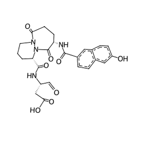 O=C[C@H](CC(=O)O)NC(=O)[C@@H]1CCCN2C(=O)CC[C@H](NC(=O)c3ccc4cc(O)ccc4c3)C(=O)N12